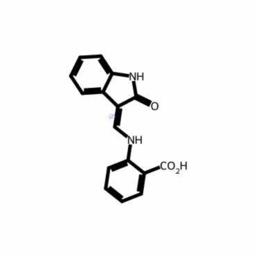 O=C1Nc2ccccc2/C1=C/Nc1ccccc1C(=O)O